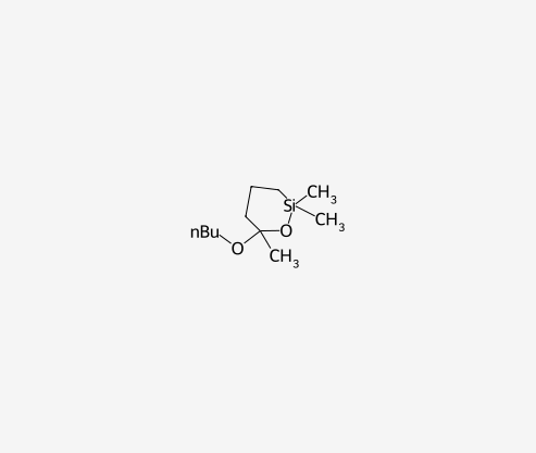 CCCCOC1(C)CCC[Si](C)(C)O1